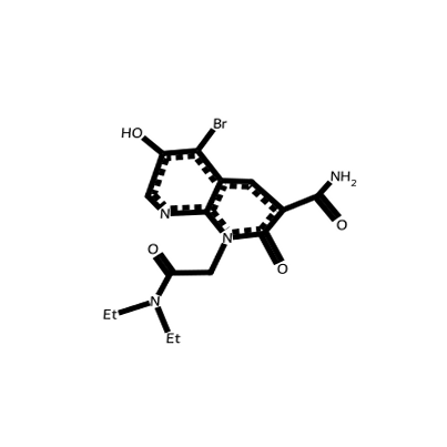 CCN(CC)C(=O)Cn1c(=O)c(C(N)=O)cc2c(Br)c(O)cnc21